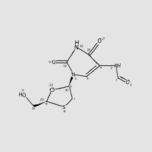 O=CNc1cn([C@H]2CS[C@@H](CO)O2)c(=O)[nH]c1=O